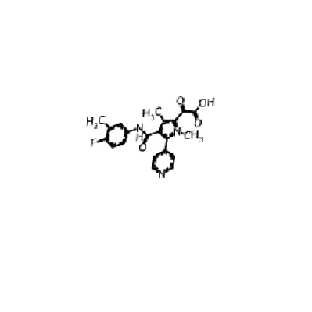 Cc1cc(NC(=O)c2c(C)c(C(=O)C(=O)O)n(C)c2-c2ccncc2)ccc1F